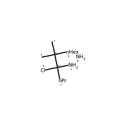 CCCCCCC(C)(C)C(N)(Cl)CCC.N